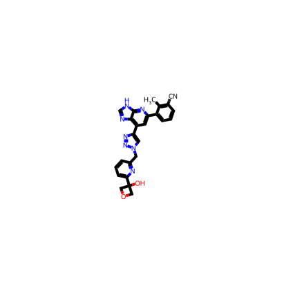 Cc1c(C#N)cccc1-c1cc(-c2cn(Cc3cccc(C4(O)COC4)n3)nn2)c2nc[nH]c2n1